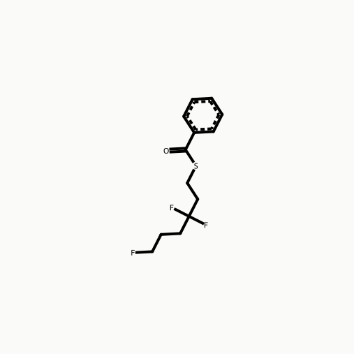 O=C(SCCC(F)(F)CCCF)c1ccccc1